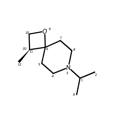 CC(C)N1CCC2(CC1)OC[C@@H]2C